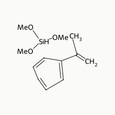 C=C(C)c1ccccc1.CO[SiH](OC)OC